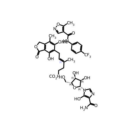 COc1c(C)c2c(c(O)c1C/C=C(\C)CCC(=O)O)C(=O)OC2.Cc1oncc1C(=O)Nc1ccc(C(F)(F)F)cc1.NC(=O)c1ncn([C@@H]2O[C@H](CO)[C@@H](O)[C@H]2O)c1O